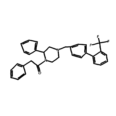 O=C(Cc1ccccc1)N1CCN(Cc2ccc(-c3ccccc3C(F)(F)F)cc2)CC1c1ccccc1